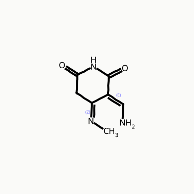 C/N=C1/CC(=O)NC(=O)/C1=C/N